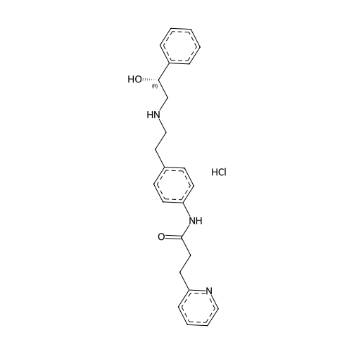 Cl.O=C(CCc1ccccn1)Nc1ccc(CCNC[C@H](O)c2ccccc2)cc1